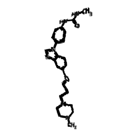 CNC(=O)Nc1ccc(-n2cnc3cc(OCCCN4CCN(C)CC4)ccc32)cc1